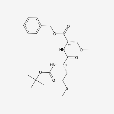 COC[C@H](NC(=O)[C@H](CCSC)NC(=O)OC(C)(C)C)C(=O)OCc1ccccc1